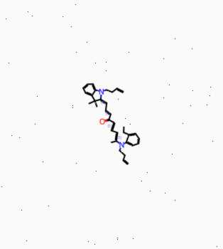 C=CCCN(/C(C)=C/C=C/C(=O)/C=C/C=C1/N(CCC=C)c2ccccc2C1(C)C)c1ccccc1CC